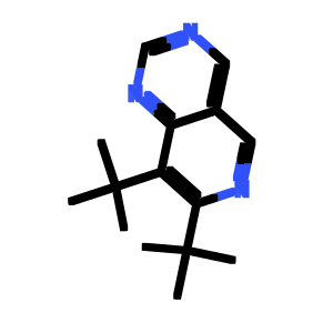 CC(C)(C)c1ncc2cncnc2c1C(C)(C)C